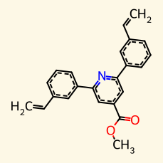 C=Cc1cccc(-c2cc(C(=O)OC)cc(-c3cccc(C=C)c3)n2)c1